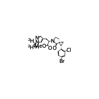 [2H]C([2H])([2H])n1cc(C[C@H](C(=O)OC)N2CC[C@@]3(C[C@@H]3c3ccc(Br)cc3Cl)C2=O)cn1